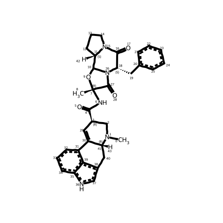 CN1C[C@H](C(=O)N[C@]2(C)OC3[C@@H]4CCCN4C(=O)[C@H](Cc4ccccc4)N3C2=O)C=C2c3cccc4[nH]cc(c34)C[C@H]21